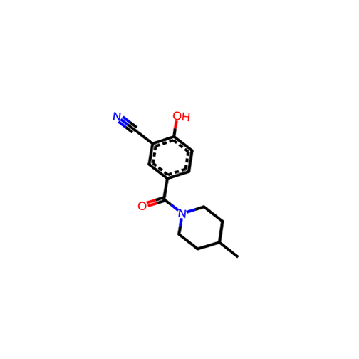 CC1CCN(C(=O)c2ccc(O)c(C#N)c2)CC1